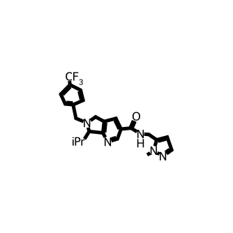 CC(C)C1c2ncc(C(=O)NCc3ccnn3C)cc2CN1Cc1ccc(C(F)(F)F)cc1